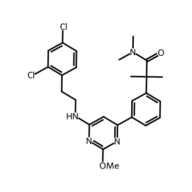 COc1nc(NCCc2ccc(Cl)cc2Cl)cc(-c2cccc(C(C)(C)C(=O)N(C)C)c2)n1